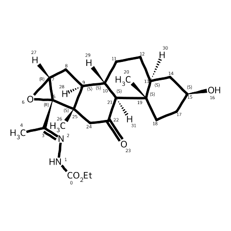 CCOC(=O)NN=C(C)[C@@]12O[C@@H]1C[C@H]1[C@@H]3CC[C@H]4C[C@@H](O)CC[C@]4(C)[C@H]3C(=O)C[C@@]12C